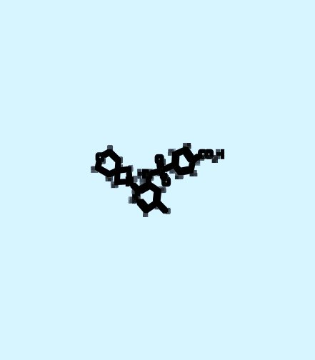 Cc1cnc(N2CC3(CCOCC3)C2)c(NS(=O)(=O)c2ccc(C(=O)O)cc2)c1